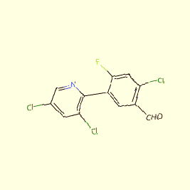 O=Cc1cc(-c2ncc(Cl)cc2Cl)c(F)cc1Cl